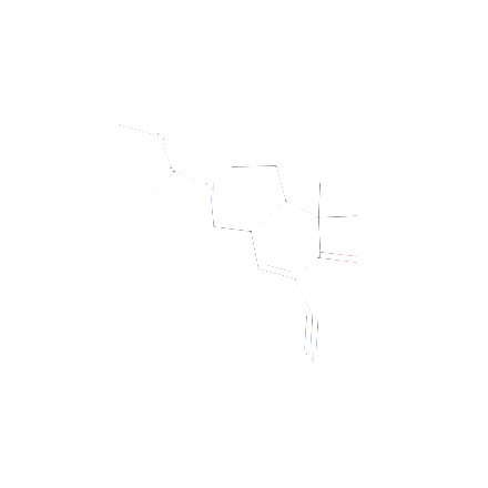 CNC(=O)N1CCC2C(C)(C)C(=O)C(C#N)=C[C@@]2(C)C1